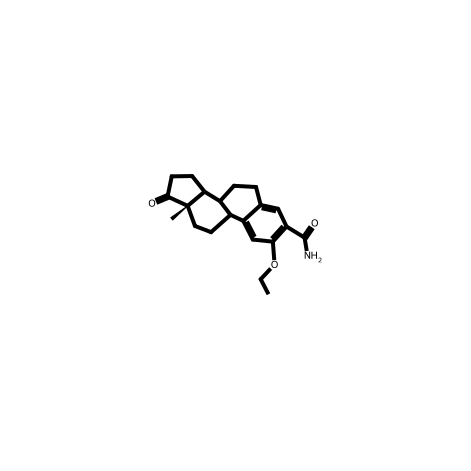 CCOc1cc2c(cc1C(N)=O)CCC1C2CC[C@]2(C)C(=O)CCC12